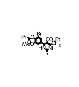 CCOC(=O)C1=C(C)NC(=S)NC1c1cc(Br)c(OC(=O)C(C)C)c(OC)c1